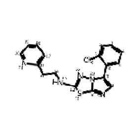 Clc1ccccc1-c1cnc2sc(NCCc3ccccn3)nn12